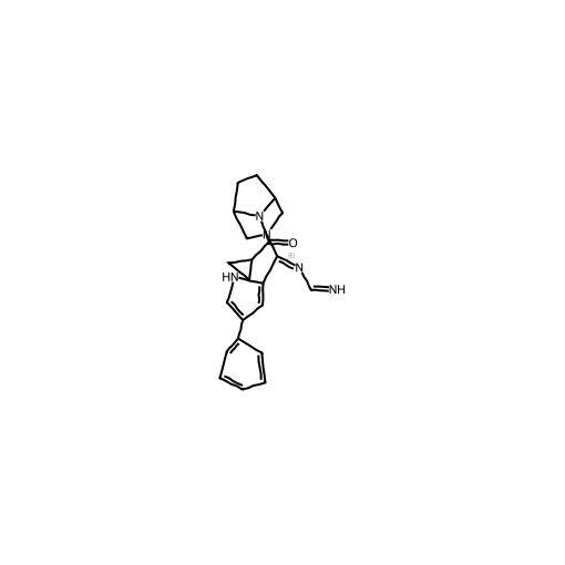 N=C/N=C(\c1cc(-c2ccccc2)c[nH]1)N1CC2CCC(C1)N2C(=O)C1CC1